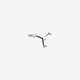 CC(=O)[C@H](S)C(=O)O